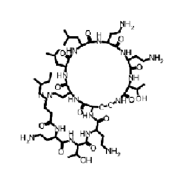 CCC(C)CCCCC(=O)NC(CCN)C(=O)NC(C(=O)NC(CCN)C(=O)NC1CCNC(=O)C(C(C)O)NC(=O)C(CCN)NC(=O)C(CCN)NC(=O)C(CC(C)C)NC(=O)C(CC(C)C)NC(=O)C(CCN)NC1=O)C(C)O